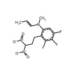 CC=CN(C)c1cc(F)c(F)c(F)c1CCC([N+](=O)[O-])[N+](=O)[O-]